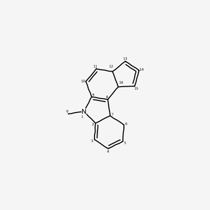 CN1C2=CC=CCC2C2=C1C=CC1C=C=CC21